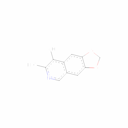 Cc1ncc2cc3c(cc2c1C)OCO3